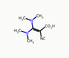 [C-]#[N+]C(C(=O)O)=C(N(C)C)N(C)C